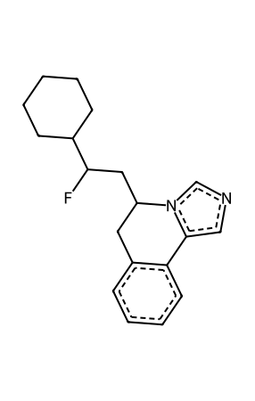 FC(CC1Cc2ccccc2-c2cncn21)C1CCCCC1